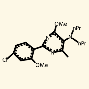 CCCN(CCC)c1c(C)nc(-c2ccc(Cl)cc2OC)nc1OC